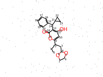 CCC(CC1OCCO1)c1cc(O)c(C(c2ccccc2)C2CC2)c(=O)o1